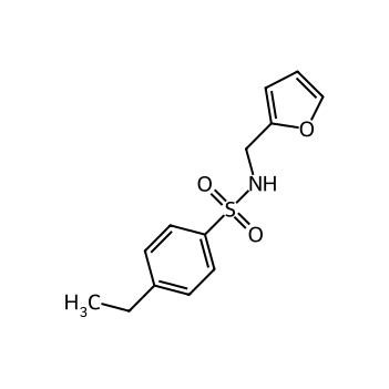 CCc1ccc(S(=O)(=O)NCc2ccco2)cc1